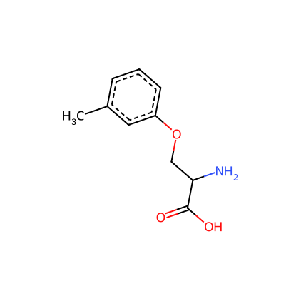 Cc1cccc(OCC(N)C(=O)O)c1